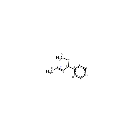 C/C=C/C(CC)c1ccccc1